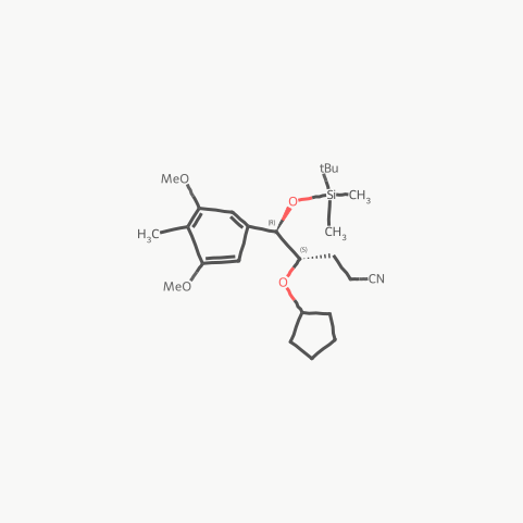 COc1cc([C@@H](O[Si](C)(C)C(C)(C)C)[C@H](CCC#N)OC2CCCC2)cc(OC)c1C